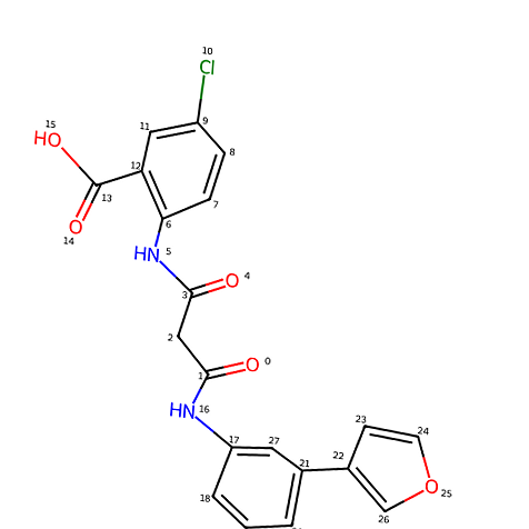 O=C(CC(=O)Nc1ccc(Cl)cc1C(=O)O)Nc1cccc(-c2ccoc2)c1